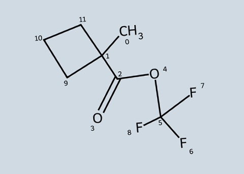 CC1(C(=O)OC(F)(F)F)CCC1